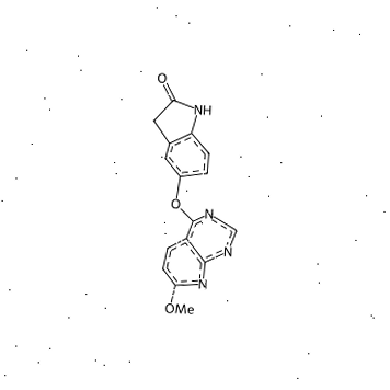 COc1ccc2c(Oc3ccc4c(c3)CC(=O)N4)ncnc2n1